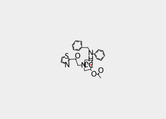 CC(=O)OC1C[N+]2(CC(=O)c3nccs3)CCC1CC2.c1ccc(CNc2ccccc2)cc1